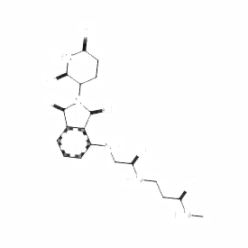 CNC(=O)CCNC(=O)CNc1cccc2c1C(=O)N(C1CCC(=O)NC1=O)C2=O